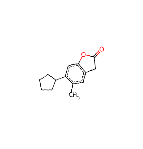 Cc1cc2c(cc1C1CCCC1)OC(=O)C2